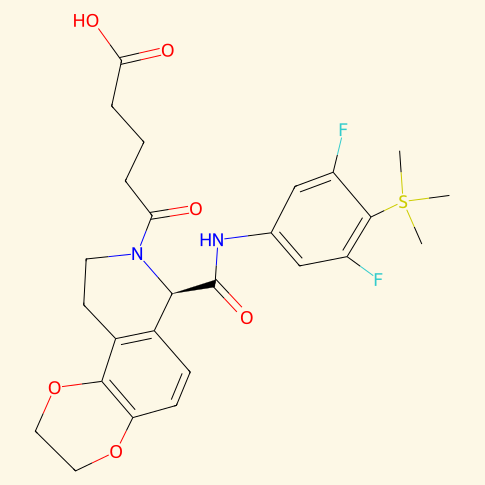 CS(C)(C)c1c(F)cc(NC(=O)[C@H]2c3ccc4c(c3CCN2C(=O)CCCC(=O)O)OCCO4)cc1F